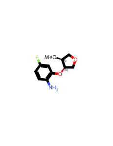 CO[C@H]1COC[C@H]1Oc1cc(F)ccc1N